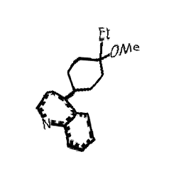 CCC1(OC)CCC(c2ccnc3ccccc23)CC1